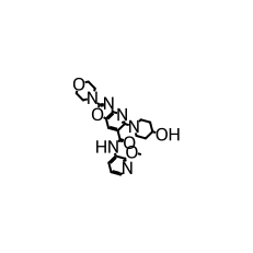 COc1ncccc1NC(=O)c1cc2oc(N3CCOCC3)nc2nc1N1CCC(O)CC1